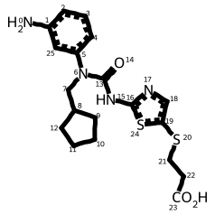 Nc1cccc(N(CC2CCCC2)C(=O)Nc2ncc(SCCC(=O)O)s2)c1